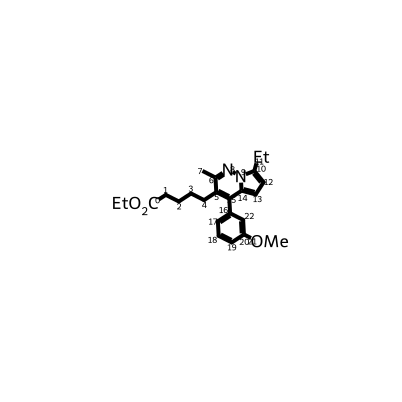 CCOC(=O)CCCCc1c(C)nn2c(CC)ccc2c1-c1cccc(OC)c1